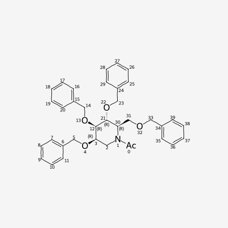 CC(=O)N1C[C@@H](OCc2ccccc2)[C@@H](OCc2ccccc2)[C@H](OCc2ccccc2)[C@H]1COCc1ccccc1